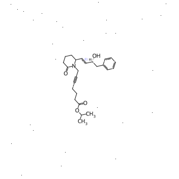 CC(C)OC(=O)CCCC#CCN1C(=O)CCCC1/C=C/[C@H](O)Cc1ccccc1